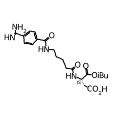 CC(C)COC(=O)[C@H](CC(=O)O)NC(=O)CCCCNC(=O)c1ccc(C(=N)N)cc1